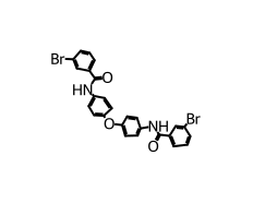 O=C(Nc1ccc(Oc2ccc(NC(=O)c3cccc(Br)c3)cc2)cc1)c1cccc(Br)c1